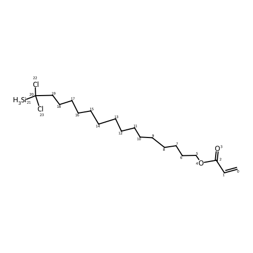 C=CC(=O)OCCCCCCCCCCCCCCCC([SiH3])(Cl)Cl